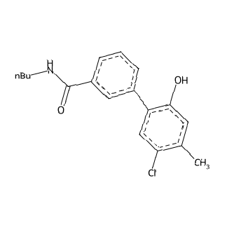 CCCCNC(=O)c1cccc(-c2cc(Cl)c(C)cc2O)c1